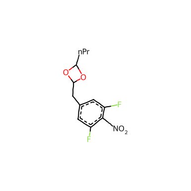 CCCC1OC(Cc2cc(F)c([N+](=O)[O-])c(F)c2)O1